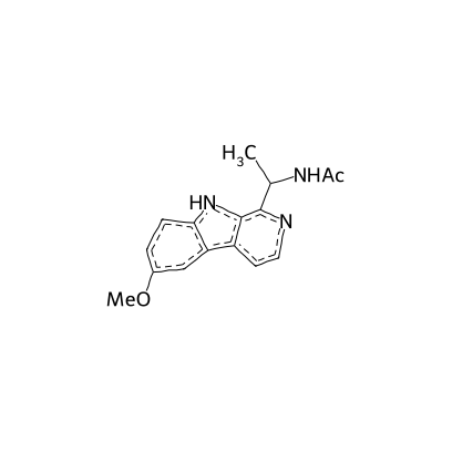 COc1ccc2[nH]c3c(C(C)NC(C)=O)nccc3c2c1